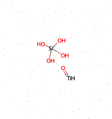 O[Si](O)(O)O.[O]=[TiH]